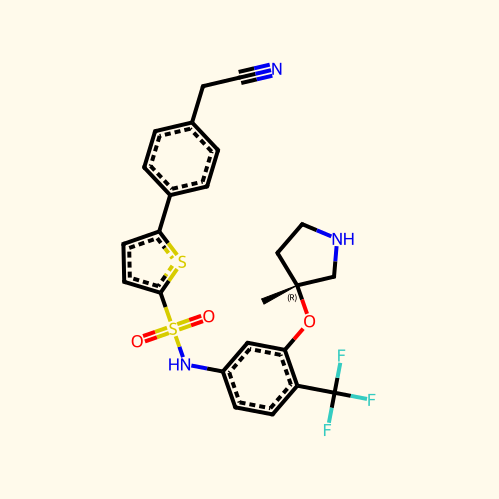 C[C@@]1(Oc2cc(NS(=O)(=O)c3ccc(-c4ccc(CC#N)cc4)s3)ccc2C(F)(F)F)CCNC1